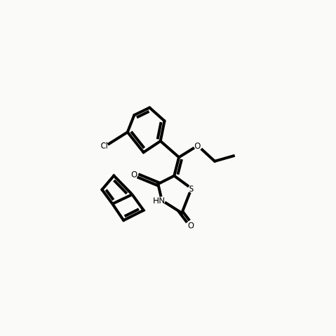 CCOC(=C1SC(=O)NC1=O)c1cccc(Cl)c1.c1cc2ccc1-2